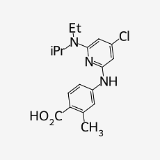 CCN(c1cc(Cl)cc(Nc2ccc(C(=O)O)c(C)c2)n1)C(C)C